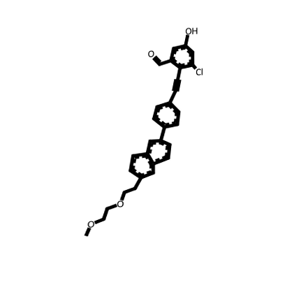 COCCOCCc1ccc2cc(-c3ccc(C#Cc4c(Cl)cc(O)cc4C=O)cc3)ccc2c1